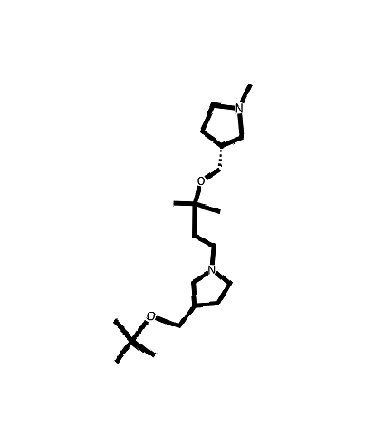 CN1CC[C@@H](COC(C)(C)CCN2CCC(COC(C)(C)C)C2)C1